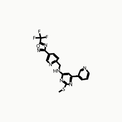 CSc1nc(NCc2ccc(-c3noc(C(F)(F)F)n3)cn2)cc(-c2cccnc2)n1